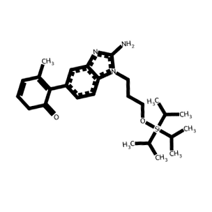 CC1=C(c2ccc3c(c2)nc(N)n3CCCO[Si](C(C)C)(C(C)C)C(C)C)C(=O)CC=C1